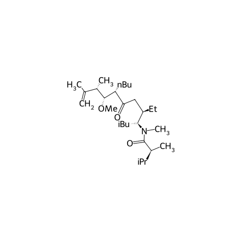 C=C(C)[C@H](C)[C@@H](OC)[C@H](CCCC)C(=O)C[C@@H](CC)[C@H]([C@@H](C)CC)N(C)C(=O)[C@@H](C)C(C)C